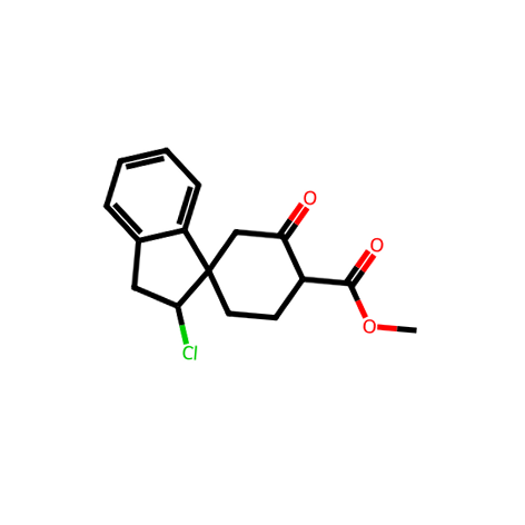 COC(=O)C1CCC2(CC1=O)c1ccccc1CC2Cl